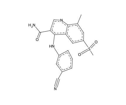 Cc1cc(S(C)(=O)=O)cc2c(Nc3cccc(C#N)c3)c(C(N)=O)cnc12